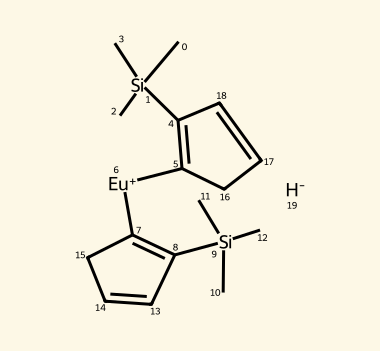 C[Si](C)(C)C1=[C]([Eu+][C]2=C([Si](C)(C)C)C=CC2)CC=C1.[H-]